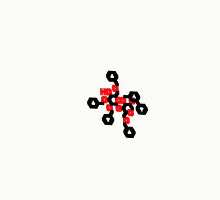 O[C@@H]1C(COCc2ccccc2)O[C@H](O[C@H]2C(COCc3ccccc3)OCC(OCc3ccccc3)C2OCc2ccccc2)C(OCc2ccccc2)C1OCc1ccccc1